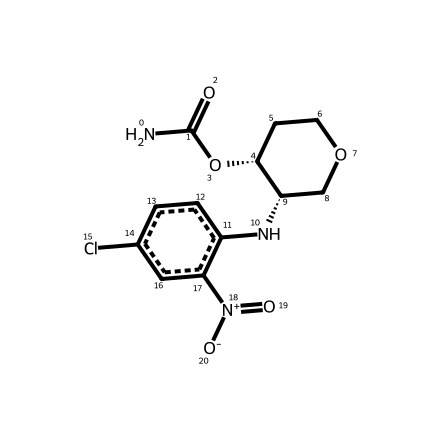 NC(=O)O[C@@H]1CCOC[C@@H]1Nc1ccc(Cl)cc1[N+](=O)[O-]